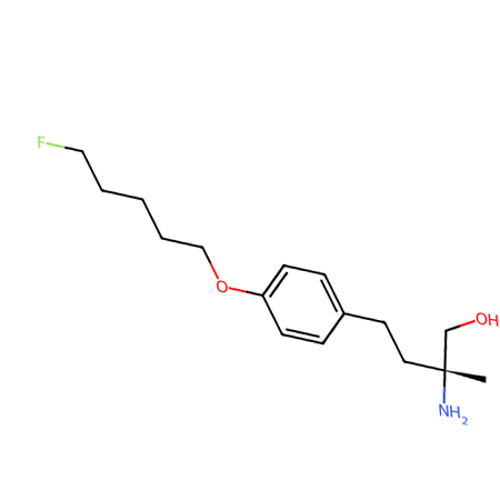 C[C@](N)(CO)CCc1ccc(OCCCCCF)cc1